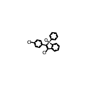 O=P1(c2ccccc2)C(c2ccc(Cl)cc2)=C(Cl)c2ccccc21